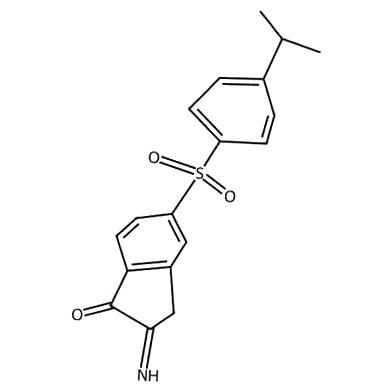 CC(C)c1ccc(S(=O)(=O)c2ccc3c(c2)CC(=N)C3=O)cc1